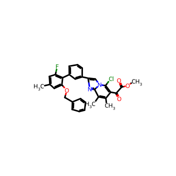 COC(=O)C(=O)c1c(C)c(C)c2nc(-c3cccc(-c4c(F)cc(C)cc4OCc4ccccc4)c3)cn2c1Cl